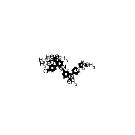 Cc1cc2nc(-c3ccc4c(c3)c(C3CCN(C5CCN(C)C5)CC3)nn4C)sc2c(-c2ccc(Cl)cc2)c1[C@H](OC(C)(C)C)C(=O)O